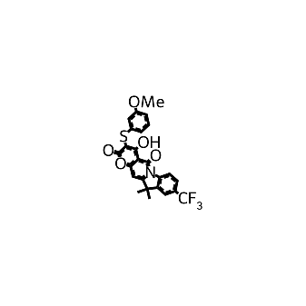 COc1cccc(Sc2c(O)c3c(=O)n4c(cc3oc2=O)C(C)(C)c2cc(C(F)(F)F)ccc2-4)c1